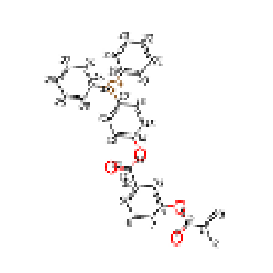 C=C(C)C(=O)Oc1cccc(C(=O)Oc2ccc([S+](c3ccccc3)c3ccccc3)cc2)c1